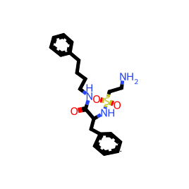 NCCS(=O)(=O)NC(Cc1cc[c]cc1)C(=O)NCCCCc1ccccc1